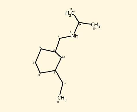 CCC1CCCC(CNC(C)C)C1